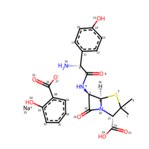 CC1(C)S[C@@H]2[C@H](NC(=O)[C@H](N)c3ccc(O)cc3)C(=O)N2[C@H]1C(=O)O.O=C([O-])c1ccccc1O.[Na+]